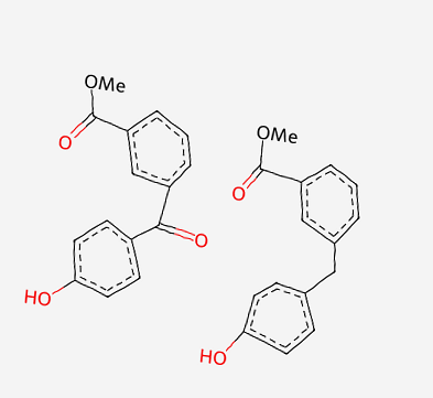 COC(=O)c1cccc(C(=O)c2ccc(O)cc2)c1.COC(=O)c1cccc(Cc2ccc(O)cc2)c1